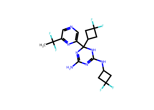 CC(F)(F)c1cncc(C2(C3CC(F)(F)C3)N=C(N)N=C(NC3CC(F)(F)C3)N2)n1